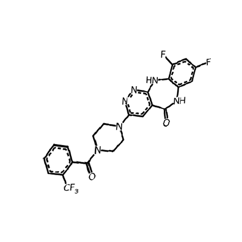 O=C1Nc2cc(F)cc(F)c2Nc2nnc(N3CCN(C(=O)c4ccccc4C(F)(F)F)CC3)cc21